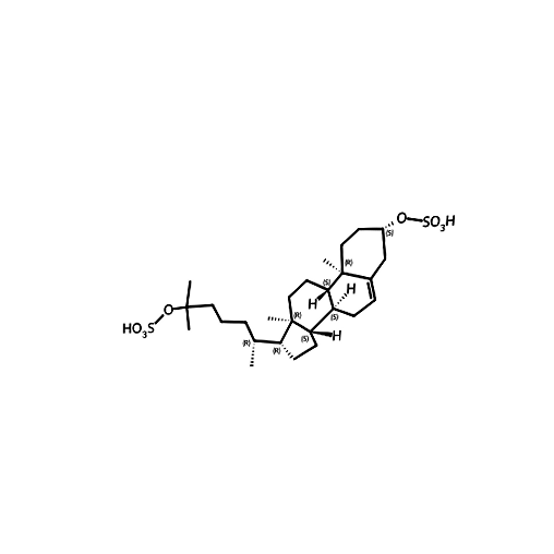 C[C@H](CCCC(C)(C)OS(=O)(=O)O)[C@H]1CC[C@H]2[C@@H]3CC=C4C[C@@H](OS(=O)(=O)O)CC[C@]4(C)[C@H]3CC[C@]12C